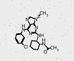 CCn1cnc2c(Nc3cccc(Cl)c3)nc(N[C@@H]3CCCC[C@@H]3NC(C)=O)nc21